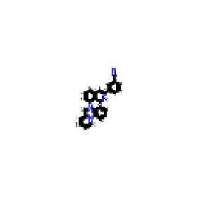 N#Cc1cccc(-c2cc3cccc(N(Cc4ccccn4)c4ccccc4)c3cn2)c1